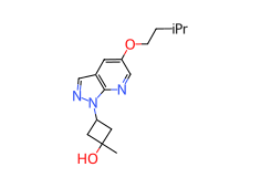 CC(C)CCOc1cnc2c(cnn2C2CC(C)(O)C2)c1